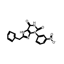 O=c1[nH]c(=O)n(-c2cccc([N+](=O)[O-])c2)c2nc(Cc3ccccc3)[nH]c12